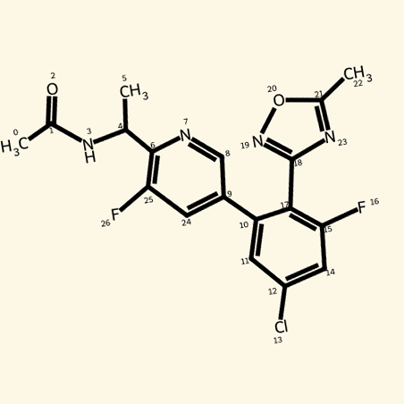 CC(=O)NC(C)c1ncc(-c2cc(Cl)cc(F)c2-c2noc(C)n2)cc1F